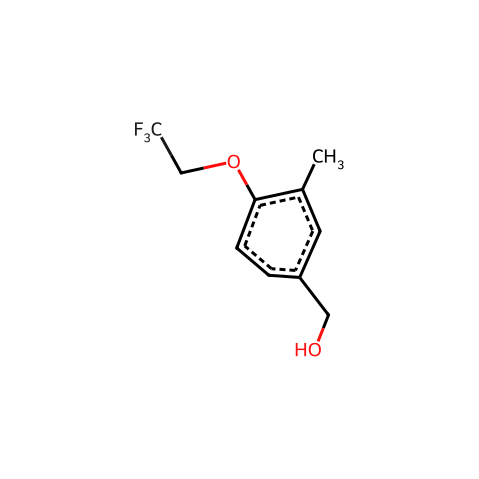 Cc1cc(CO)ccc1OCC(F)(F)F